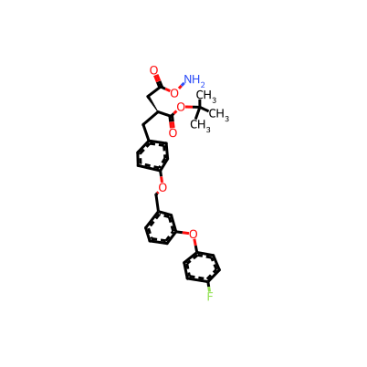 CC(C)(C)OC(=O)[C@H](CC(=O)ON)Cc1ccc(OCc2cccc(Oc3ccc(F)cc3)c2)cc1